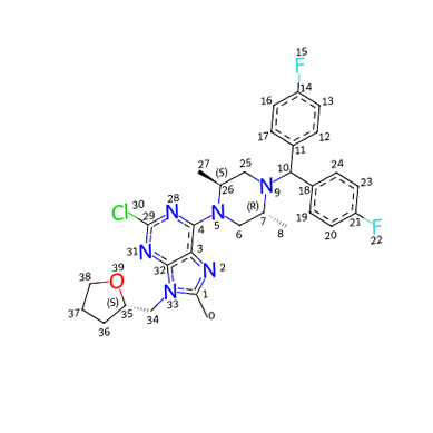 Cc1nc2c(N3C[C@@H](C)N(C(c4ccc(F)cc4)c4ccc(F)cc4)C[C@@H]3C)nc(Cl)nc2n1C[C@@H]1CCCO1